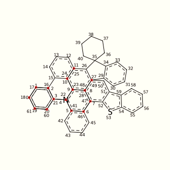 c1ccc(-c2ccccc2-c2ccccc2-c2ccccc2N(c2ccc3c(c2)-c2ccccc2C32CCCCC2)c2ccccc2-c2cccc3c2sc2ccccc23)cc1